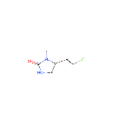 CN1C(=O)NCC1CCF